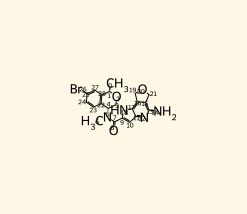 C[C@H]1OC[C@H](N(C)C(=O)c2cc3nc(N)c4c(c3[nH]2)COC4)c2ccc(Br)cc21